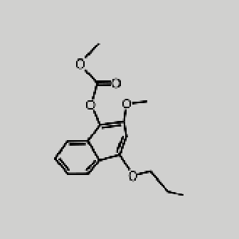 CCCOc1cc(OC)c(OC(=O)OC)c2ccccc12